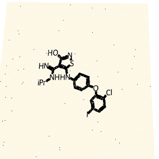 CC(C)NC(=N)c1c(O)nsc1Nc1ccc(Oc2cc(I)ccc2Cl)cc1